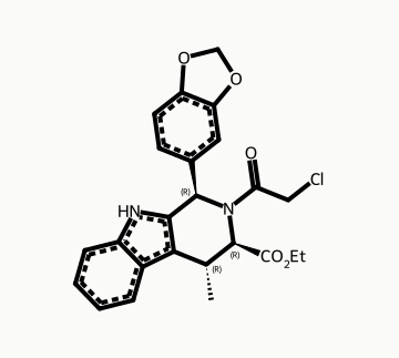 CCOC(=O)[C@H]1[C@H](C)c2c([nH]c3ccccc23)[C@@H](c2ccc3c(c2)OCO3)N1C(=O)CCl